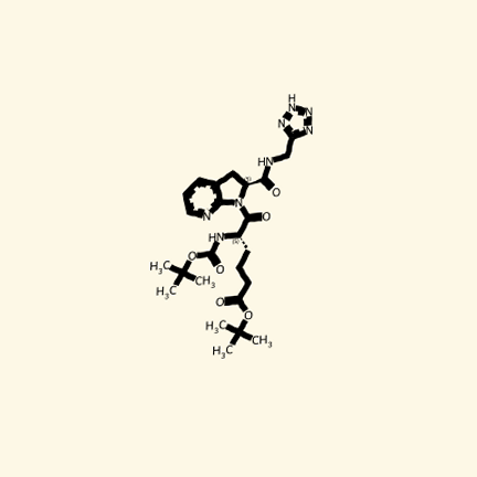 CC(C)(C)OC(=O)CCC[C@H](NC(=O)OC(C)(C)C)C(=O)N1c2ncccc2C[C@H]1C(=O)NCc1nn[nH]n1